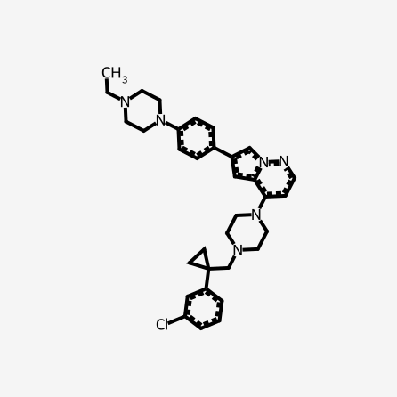 CCN1CCN(c2ccc(-c3cc4c(N5CCN(CC6(c7cccc(Cl)c7)CC6)CC5)ccnn4c3)cc2)CC1